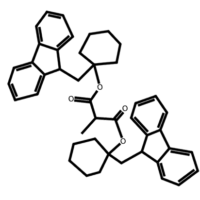 CC(C(=O)OC1(CC2c3ccccc3-c3ccccc32)CCCCC1)C(=O)OC1(CC2c3ccccc3-c3ccccc32)CCCCC1